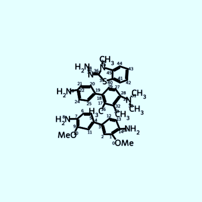 COc1cc(-c2ccc(N)c(OC)c2)ccc1N.Cc1c(-c2ccc(N)cc2)ccc(N(C)C)c1C.Cn1c(=NN)sc2ccccc21